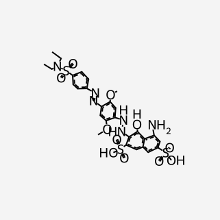 CCN(CC)S(=O)(=O)c1ccc(/N=N/c2cc(OC)c(NNc3c(S(=O)(=O)O)cc4cc(S(=O)(=O)O)cc(N)c4c3O)cc2OC)cc1